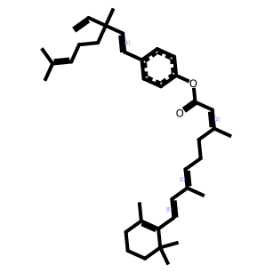 C=CC(C)(/C=C/c1ccc(OC(=O)/C=C(/C)CC/C=C(C)/C=C/C2=C(C)CCCC2(C)C)cc1)CCC=C(C)C